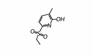 CCS(=O)(=O)c1ccc(C)c(O)n1